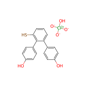 Oc1ccc(-c2cccc(S)c2-c2ccc(O)cc2)cc1.[O-][Cl+3]([O-])([O-])O